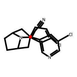 N#CC1(c2cncc(Cl)c2)CC2CCC(C1)N2c1ccc(Cl)s1